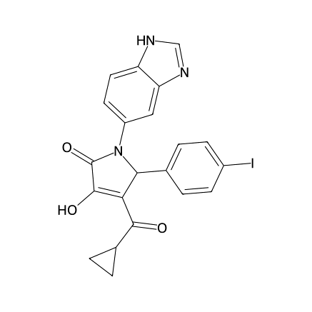 O=C(C1=C(O)C(=O)N(c2ccc3[nH]cnc3c2)C1c1ccc(I)cc1)C1CC1